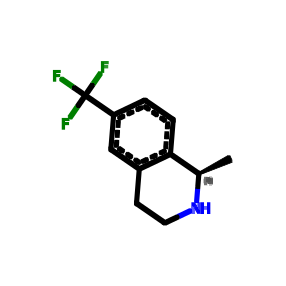 C[C@H]1NCCc2cc(C(F)(F)F)ccc21